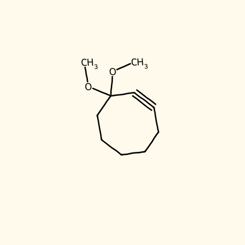 COC1(OC)C#CCCCCC1